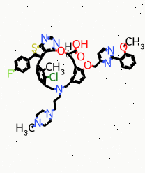 COc1ccccc1-c1nccc(COc2ccc3cc2C[C@H](C(=O)O)Oc2ncnc4sc(-c5ccc(F)cc5)c(c24)-c2ccc(c(Cl)c2C)CN(CCCN2CCN(C)CC2)C3)n1